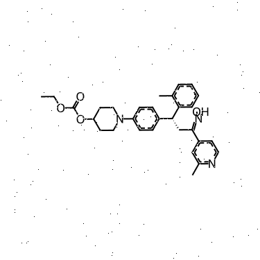 CCOC(=O)OC1CCN(c2ccc([C@@H](C/C(=N\O)c3ccnc(C)c3)c3ccccc3C)cc2)CC1